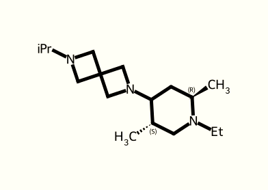 CCN1C[C@H](C)C(N2CC3(CN(C(C)C)C3)C2)C[C@H]1C